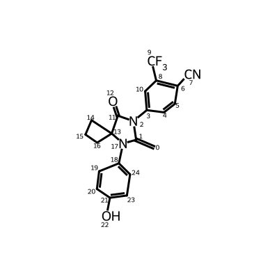 C=C1N(c2ccc(C#N)c(C(F)(F)F)c2)C(=O)C2(CCC2)N1c1ccc(O)cc1